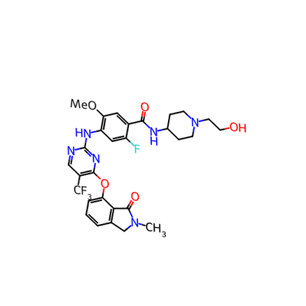 COc1cc(C(=O)NC2CCN(CCO)CC2)c(F)cc1Nc1ncc(C(F)(F)F)c(Oc2cccc3c2C(=O)N(C)C3)n1